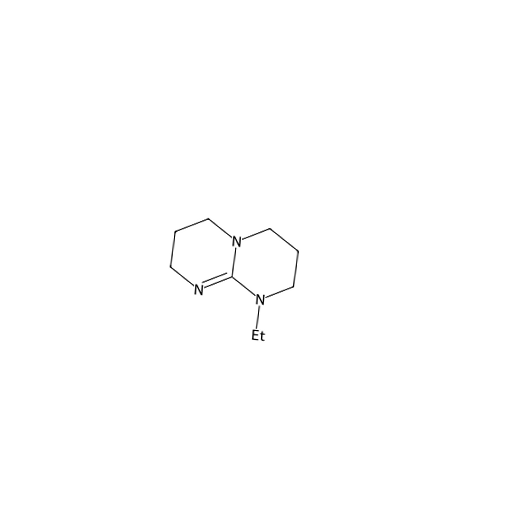 CCN1CCCN2CCCN=C12